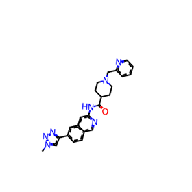 Cn1cc(-c2ccc3cnc(NC(=O)C4CCN(Cc5ccccn5)CC4)cc3c2)nn1